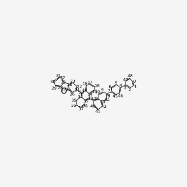 c1ccc(-c2ccc(-c3ccc4c(-c5c6ccccc6c(-c6ccc7c(c6)oc6ccccc67)c6ccccc56)cccc4c3)cc2)cc1